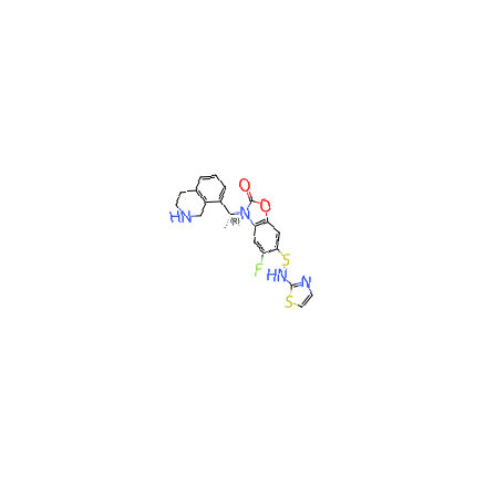 C[C@H](c1cccc2c1CNCC2)n1c(=O)oc2cc(SNc3nccs3)c(F)cc21